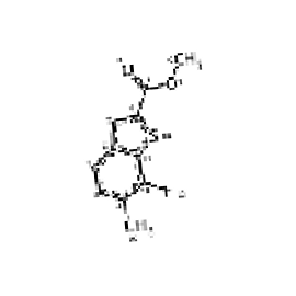 COC(=O)c1cc2ccc(C)c(F)c2s1